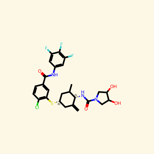 C=C1C[C@H](Sc2cc(C(=O)Nc3cc(F)c(F)c(F)c3)ccc2Cl)CC(C)[C@@H]1NC(=O)N1CC(O)C(O)C1